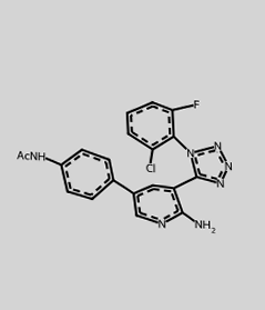 CC(=O)Nc1ccc(-c2cnc(N)c(-c3nnnn3-c3c(F)cccc3Cl)c2)cc1